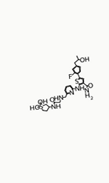 CC(O)Cc1ccc(-c2cc(C(N)=O)c(Nc3cccc(CNCC(=O)NC4CCS(O)(O)C4)n3)s2)c(F)c1